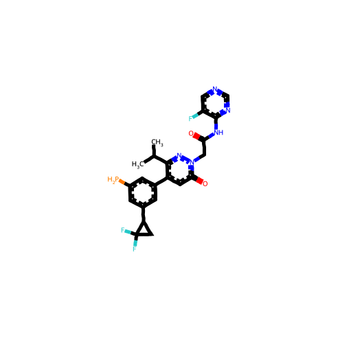 CC(C)c1nn(CC(=O)Nc2ncncc2F)c(=O)cc1-c1cc(P)cc(C2CC2(F)F)c1